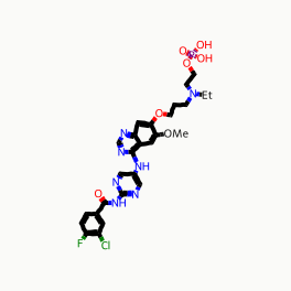 CCN(CCCOc1cc2ncnc(Nc3cnc(NC(=O)c4ccc(F)c(Cl)c4)nc3)c2cc1OC)CCOP(=O)(O)O